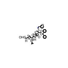 O=CNc1nc(C(=NOC2CC2)C(=O)N[C@@H]2C(=O)N3C(C(=O)OC(c4ccccc4)c4ccccc4)=C(S/C=C\c4cccnc4)CS[C@@H]23)cs1